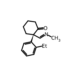 CCc1ccccc1[C@@]1(/C=N/C)CCCCC1=O